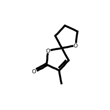 CC1=CC2(CCCO2)OC1=O